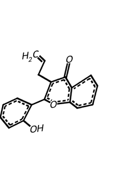 C=CCc1c(-c2ccccc2O)oc2ccccc2c1=O